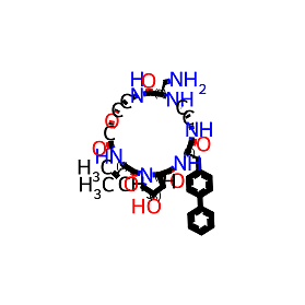 CC(C)(C)[C@@H]1NC(=O)COCCNC(=O)[C@@H](CN)NCCNC(=O)[C@@H](Cc2ccc(-c3ccccc3)cc2)NC(=O)[C@@H]2C[C@@H](O)CN2C1=O